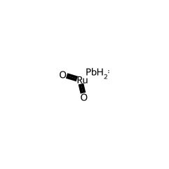 [O]=[Ru]=[O].[PbH2]